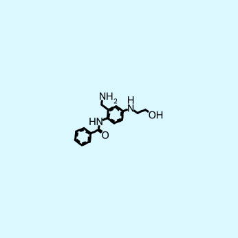 NCc1cc(NCCO)ccc1NC(=O)c1ccccc1